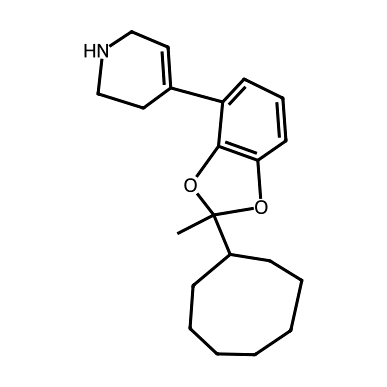 CC1(C2CCCCCCC2)Oc2cccc(C3=CCNCC3)c2O1